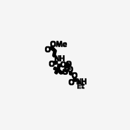 [CH2]CNC(=O)OCO[P@]1(=O)OCC(C)(C)[C@H](C(=O)NCCC(=O)OC)O1